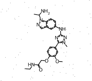 CCNC(=O)COc1ccc(-c2nc(Nc3ccc4c(cnn4C(C)N)c3)nn2C)cc1OC